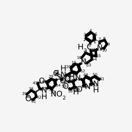 Cc1ccccc1[C@@H]1CCCN1C1CC2(CCN(c3ccc(C(=O)NS(=O)(=O)c4cc5c(c([N+](=O)[O-])c4)N[C@@H](C4CCOCC4)CO5)c(N4c5cc6cc[nH]c6nc5O[C@@H]5COC[C@H]54)c3)CC2)C1